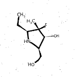 CC[C@@H]1N[C@H](CO)[C@@H](O)[C@@]1(C)F